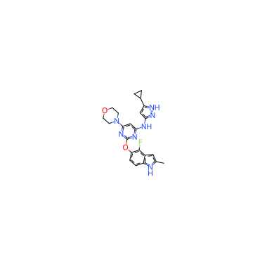 Cc1cc2c(F)c(Oc3nc(Nc4cc(C5CC5)[nH]n4)cc(N4CCOCC4)n3)ccc2[nH]1